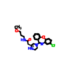 COCCCNC(=O)C[C@H]1CN(C2=Nc3cc(Cl)ccc3Oc3ccccc32)CCN1